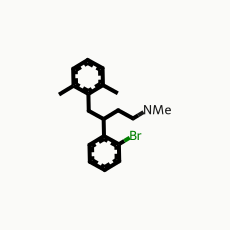 CNCCC(Cc1c(C)cccc1C)c1ccccc1Br